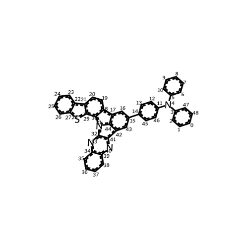 c1ccc(N(c2ccccc2)c2ccc(-c3cc4c5ccc6c7ccccc7sc6c5n5c6nc7ccccc7nc6c(c3)c45)cc2)cc1